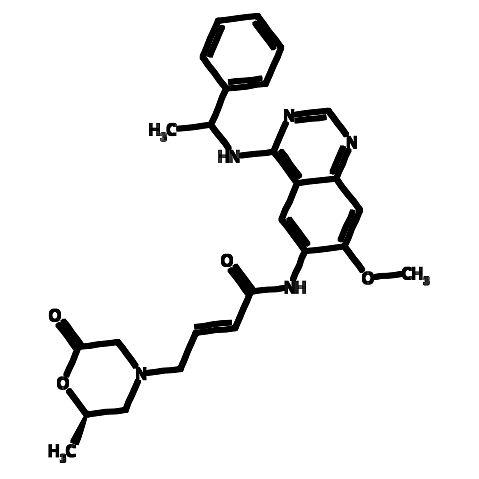 COc1cc2ncnc(NC(C)c3ccccc3)c2cc1NC(=O)C=CCN1CC(=O)O[C@H](C)C1